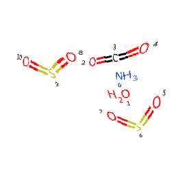 N.O.O=C=O.O=S=O.O=S=O